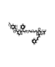 COc1ccc(NC(=O)c2ccnc(N(CCOCCOCCNC(=O)[C@H](CC(C)C)NC(=O)CCCc3ccccc3)c3ccccc3)n2)cn1